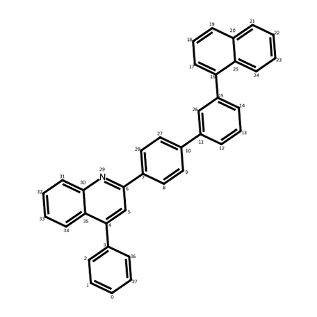 c1ccc(-c2cc(-c3ccc(-c4cccc(-c5cccc6ccccc56)c4)cc3)nc3ccccc23)cc1